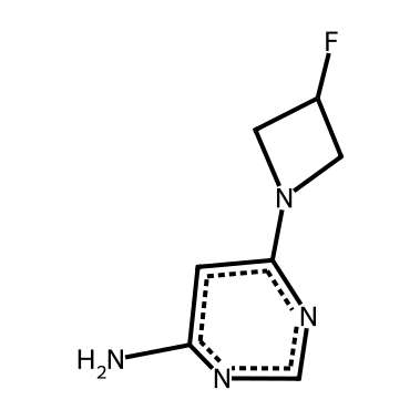 Nc1cc(N2CC(F)C2)ncn1